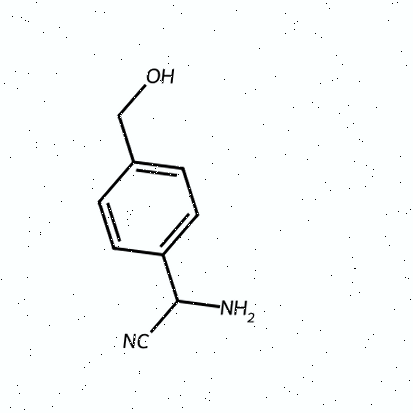 N#CC(N)c1ccc(CO)cc1